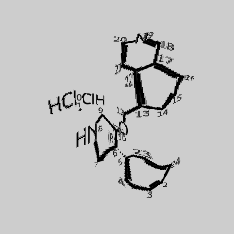 Cl.Cl.c1ccc([C@@H]2CNC[C@H]2OCc2cccc3cnccc23)cc1